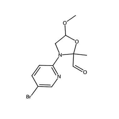 COC1CN(c2ccc(Br)cn2)C(C)(C=O)O1